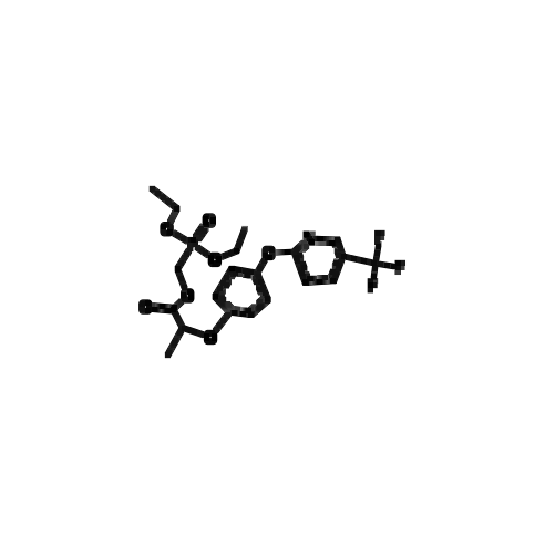 CCOP(=O)(COC(=O)C(C)Oc1ccc(Oc2ccc(C(F)(F)F)cn2)cc1)OCC